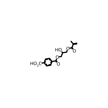 C=C(C)C(=O)OCC(O)COC(=O)c1ccc(C(=O)O)cc1